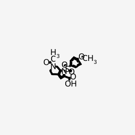 COc1ccc(S(=O)(=O)n2c(C(=O)O)cc3c2CN(C(C)=O)CC3)cc1